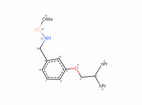 CCCC(CCC)COc1cccc(CNBOC)c1